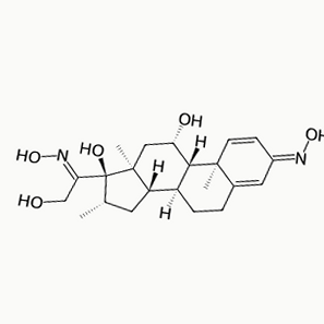 C[C@H]1C[C@H]2[C@@H]3CCC4=C/C(=N/O)C=C[C@]4(C)[C@H]3[C@@H](O)C[C@]2(C)[C@@]1(O)/C(CO)=N/O